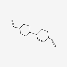 O=CC1C=CC(C2CCC(C=O)CC2)CC1